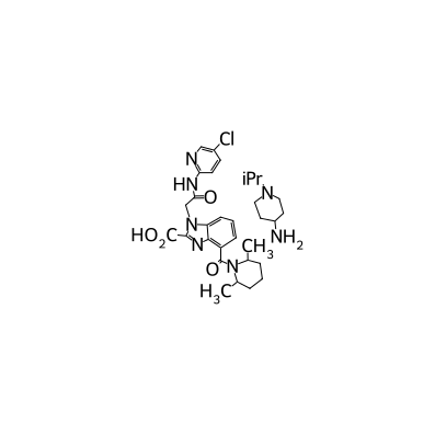 CC(C)N1CCC(N)CC1.CC1CCCC(C)N1C(=O)c1cccc2c1nc(C(=O)O)n2CC(=O)Nc1ccc(Cl)cn1